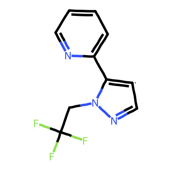 FC(F)(F)Cn1nc[c]c1-c1ccccn1